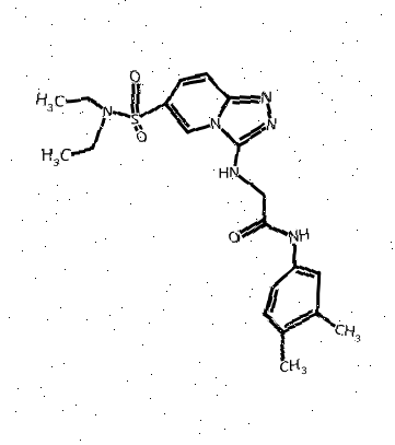 CCN(CC)S(=O)(=O)c1ccc2nnc(NCC(=O)Nc3ccc(C)c(C)c3)n2c1